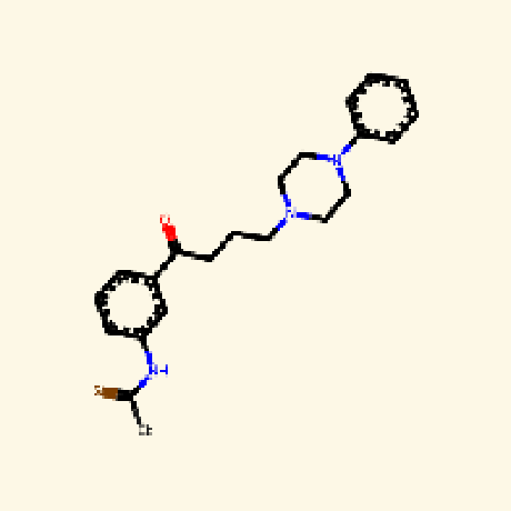 CCC(=S)Nc1cccc(C(=O)CCCN2CCN(c3ccccc3)CC2)c1